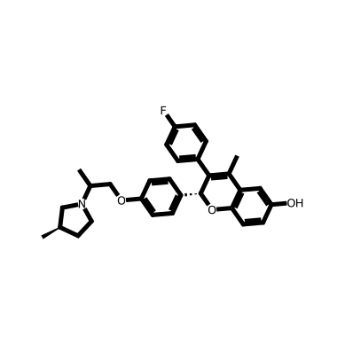 CC1=C(c2ccc(F)cc2)[C@@H](c2ccc(OCC(C)N3CC[C@@H](C)C3)cc2)Oc2ccc(O)cc21